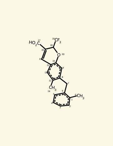 Cc1ccccc1Cc1cc2c(cc1C)C=C(C(=O)O)C(C(F)(F)F)O2